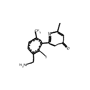 CC1=CC(=O)CC(c2c(C(F)(F)F)ccc(CN)c2F)=N1